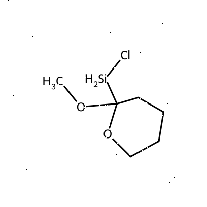 COC1([SiH2]Cl)CCCCO1